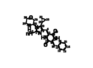 CCCc1nc(/C=c2\[nH]c(=O)/c(=C/c3ccccc3)[nH]c2=O)c(C2CC2)n1C1COCCN1